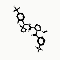 CC[C@@H]1CC[C@H](C(=O)NC(c2ccc(C(F)(F)F)cc2F)C2(F)COC2)N1C(=O)c1cccc(S(C)(=O)=O)c1